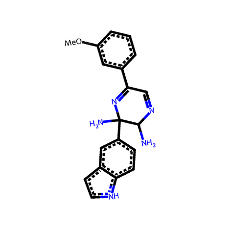 COc1cccc(C2=NC(N)(c3ccc4[nH]ccc4c3)C(N)N=C2)c1